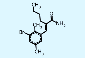 CCCC/C(=C\c1cc(C)cc(Br)c1C)C(N)=O